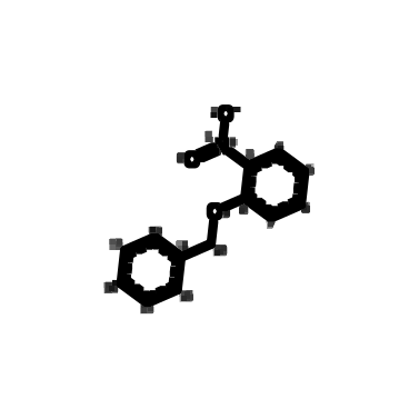 O=[N+]([O-])c1ccccc1OCc1cc[c]cc1